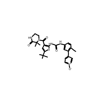 Cc1ccc(NC(=O)Nc2sc(C(C)(C)C)cc2C(=O)N2CCNC(=O)C2(C)C)cc1-c1cc[n+]([O-])cc1